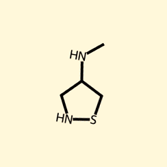 CNC1CNSC1